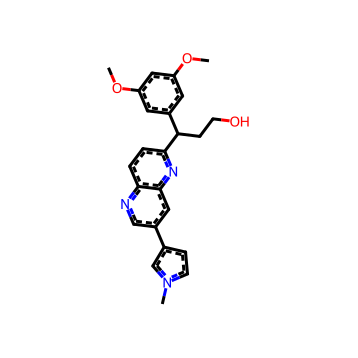 COc1cc(OC)cc(C(CCO)c2ccc3ncc(-c4ccn(C)c4)cc3n2)c1